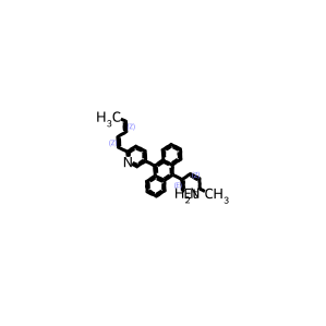 C/C=C\C=C/c1ccc(-c2c3ccccc3c(C(/C=C\C(C)N)=C/CC)c3ccccc23)cn1